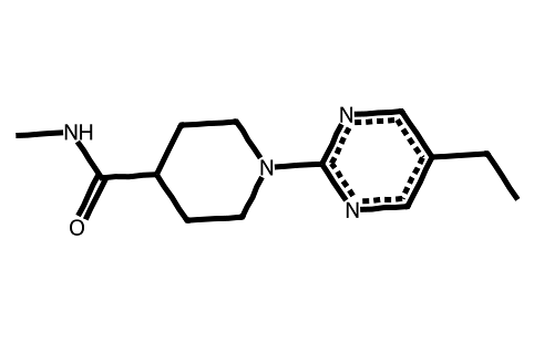 CCc1cnc(N2CCC(C(=O)NC)CC2)nc1